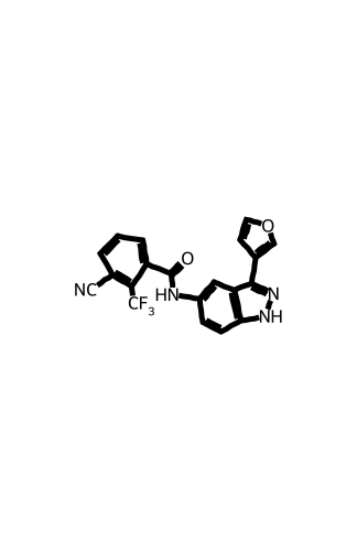 N#Cc1cccc(C(=O)Nc2ccc3[nH]nc(-c4ccoc4)c3c2)c1C(F)(F)F